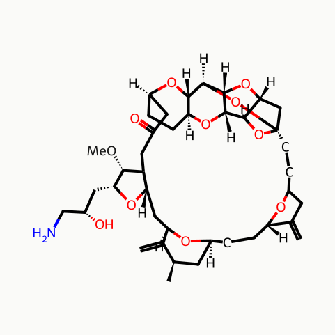 C=C1CC2CC[C@@]34C[C@H]5O[C@H]6[C@@H](O3)[C@H]3O[C@H](CC[C@@H]3O[C@H]6[C@H]5O4)CC(=O)CC3[C@H](C[C@H]4O[C@@H](CC[C@@H]1O2)C[C@@H](C)C4=C)O[C@H](C[C@H](O)CN)[C@@H]3OC